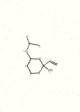 C=CC1(O)CCCC(OC(C)C)C1